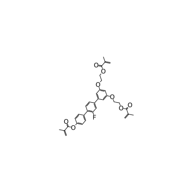 C=C(C)C(=O)OCCOc1cc(OCCOC(=O)C(=C)C)cc(-c2ccc(-c3ccc(OC(=O)C(=C)C)cc3)c(F)c2)c1